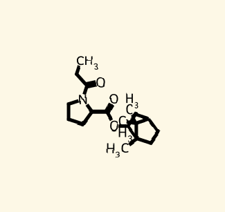 CCC(=O)N1CCCC1C(=O)OC1CC2CCC1(C)C2(C)C